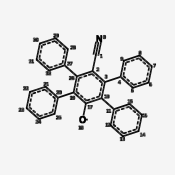 N#Cc1c(-c2ccccc2)c(-c2ccccc2)c([O])c(-c2ccccc2)c1-c1ccccc1